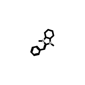 CN1C(=Cc2ccccc2)N(C)C2CCCCC21